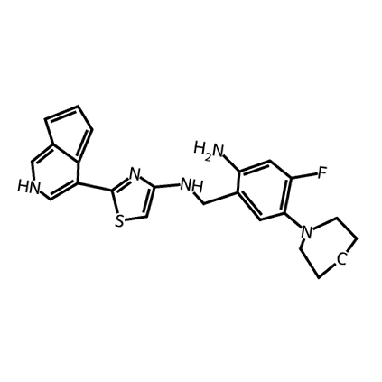 Nc1cc(F)c(N2CCCCC2)cc1CNc1csc(-c2c[nH]cc3cccc2-3)n1